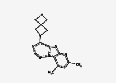 Cc1cc(C)c2c(n1)sc1c(N3CC4(COC4)C3)ncnc12